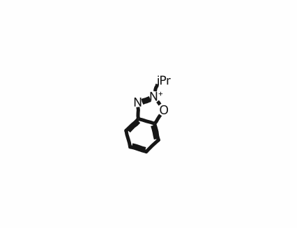 CC(C)[n+]1nc2ccccc2o1